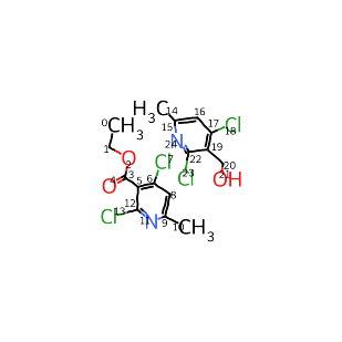 CCOC(=O)c1c(Cl)cc(C)nc1Cl.Cc1cc(Cl)c(CO)c(Cl)n1